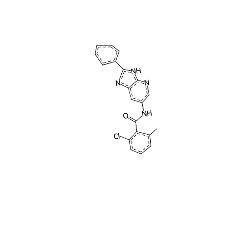 Cc1cccc(Cl)c1C(=O)Nc1cnc2[nH]c(-c3ccccc3)nc2c1